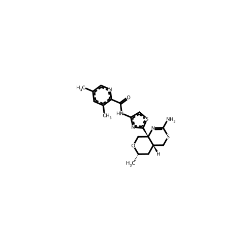 Cc1cnc(C(=O)Nc2csc([C@]34CO[C@@H](C)C[C@H]3CSC(N)=N4)n2)c(C)c1